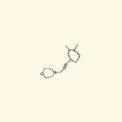 Cc1ccc(C#CCN2CCOCC2)cc1C